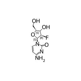 Nc1ccn([C@H]2O[C@@H](CO)C(O)[C@H]2F)c(=O)n1